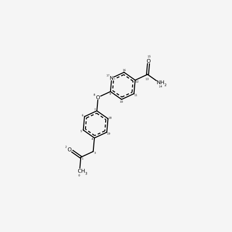 CC(=O)Cc1ccc(Oc2ccc(C(N)=O)cn2)cc1